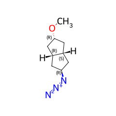 CO[C@H]1C[C@H]2C[C@H](N=[N+]=[N-])C[C@H]2C1